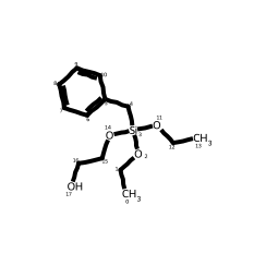 CCO[Si](Cc1ccccc1)(OCC)OCCO